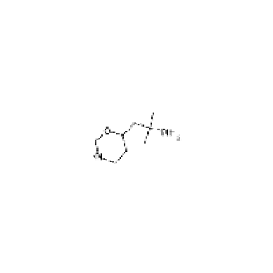 CC(C)(N)CC1CC[N]CO1